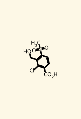 CS(=O)(=O)c1ccc(C(=O)O)c(Cl)c1CO